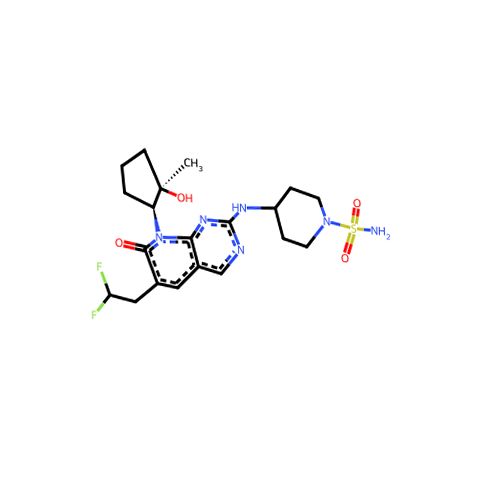 C[C@@]1(O)CCC[C@@H]1n1c(=O)c(CC(F)F)cc2cnc(NC3CCN(S(N)(=O)=O)CC3)nc21